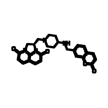 O=c1ccc2ccc(CNC3CCN(C[C@@H]4Cn5c(=O)ccc6ccc(=O)n4c65)CC3)cc2o1